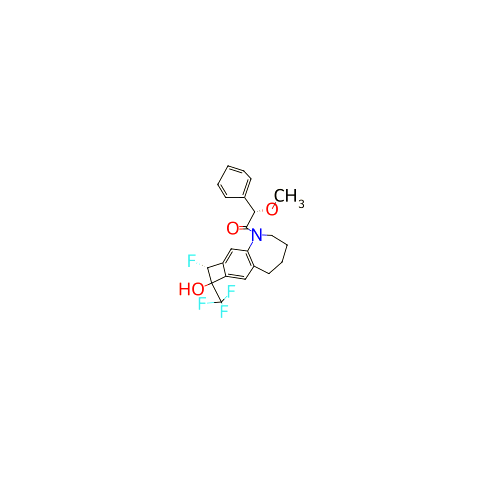 CO[C@H](C(=O)N1CCCCc2cc3c(cc21)[C@@H](F)C3(O)C(F)(F)F)c1ccccc1